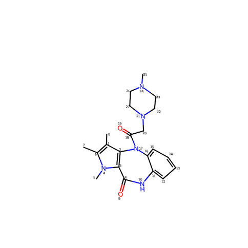 Cc1c2c(n(C)c1C)C(=O)Nc1ccccc1N2C(=O)CN1CCN(C)CC1